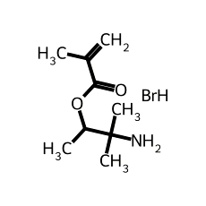 Br.C=C(C)C(=O)OC(C)C(C)(C)N